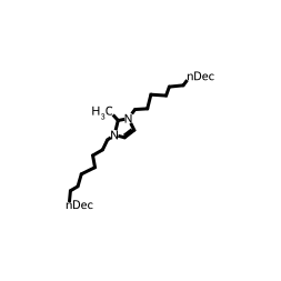 CCCCCCCCCCCCCCCCCN1C=CN(CCCCCCCCCCCCCCCC)C1C